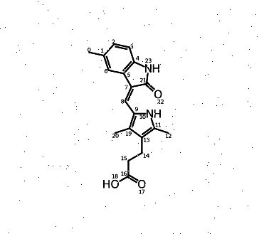 Cc1ccc2c(c1)C(=Cc1[nH]c(C)c(CCC(=O)O)c1C)C(=O)N2